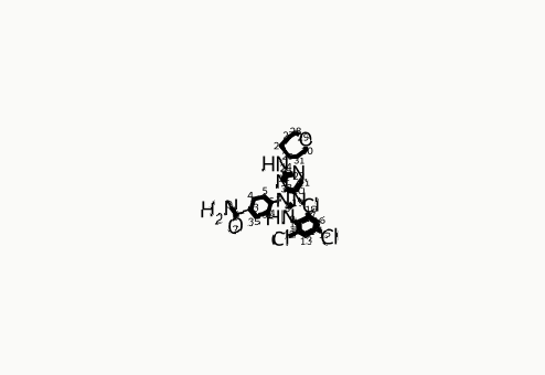 NC(=O)[C@H]1CC[C@@H](n2c(Nc3c(Cl)cc(Cl)cc3Cl)nc3cnc(NC4CCCOCC4)nc32)CC1